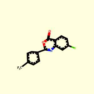 O=c1oc(-c2ccc(C(F)(F)F)cc2)nc2cc(F)ccc12